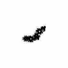 CN(C)Cc1ccc(-c2ccc(CC3CCN(C4CCC4)CC3)nc2)cc1